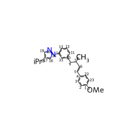 COc1ccc(/C=C/C(C)Cc2cccc(-n3cc(C(C)C)cn3)c2)cc1